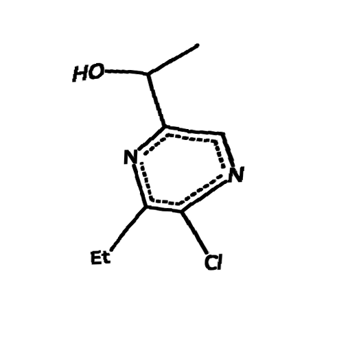 CCc1nc(C(C)O)cnc1Cl